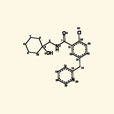 O=C(NCC1(O)CCCCC1)c1cc(Cc2ccccn2)ccc1Cl